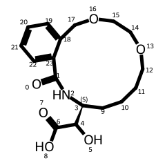 O=C1N[C@H](C(O)C(=O)O)CCCCOCCOCc2ccccc21